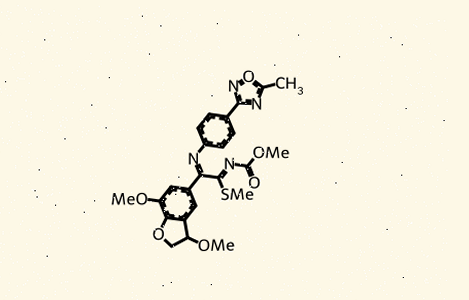 COC(=O)/N=C(SC)/C(=N\c1ccc(-c2noc(C)n2)cc1)c1cc(OC)c2c(c1)C(OC)CO2